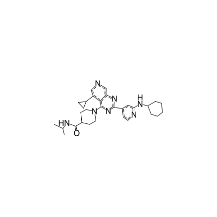 CC(C)NC(=O)C1CCN(c2nc(-c3ccnc(NC4CCCCC4)c3)nc3cncc(C4CC4)c23)CC1